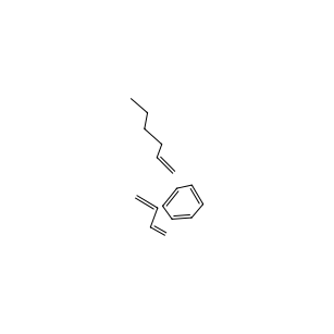 C=CC=C.C=CCCCC.c1ccccc1